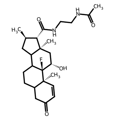 CC(=O)NCCNC(=O)[C@H]1[C@H](C)CC2C3CCC4CC(=O)C=C[C@]4(C)[C@@]3(F)[C@@H](O)C[C@@]21C